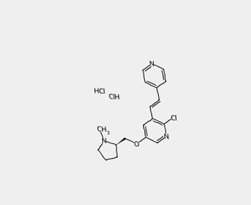 CN1CCC[C@@H]1COc1cnc(Cl)c(C=Cc2ccncc2)c1.Cl.Cl